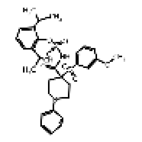 COc1cccc(S(=O)(=O)C2(C(=O)NS(=O)(=O)Oc3c(C(C)C)cccc3C(C)C)CCN(c3ccccc3)CC2)c1